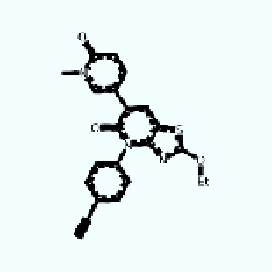 C#Cc1ccc(-n2c(=O)c(-c3ccc(=O)n(C)c3)cc3sc(OCC)nc32)cc1